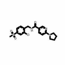 CS(=O)(=O)c1ccc(CNC(=O)c2ccc(N3CCCC3)nc2)c(Cl)c1